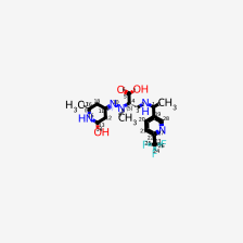 CC(NC[C@@H](C(=O)O)N(C)/N=C1\CC(O)N[C@H](C)C1)c1ccc(C(F)(F)F)nc1